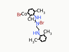 Cc1cccc(C)c1NCCN(Br)CNc1c(C)cc[c]([Co][Br])c1C